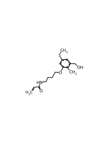 C=CC(=O)NCCCCOc1cc(SC)cc(CO)c1C